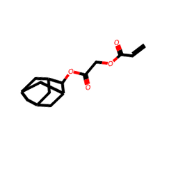 C=CC(=O)OCC(=O)OC1C2CC3CC(C2)CC1C3